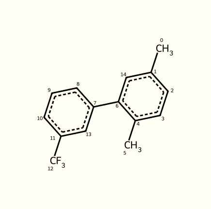 Cc1ccc(C)c(-c2cccc(C(F)(F)F)c2)c1